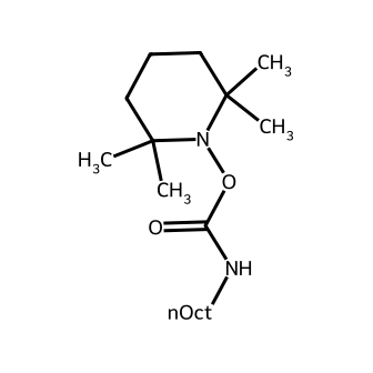 CCCCCCCCNC(=O)ON1C(C)(C)CCCC1(C)C